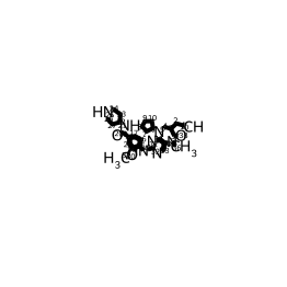 C#CCC1CN(C2CCCC2)c2nc(Nc3ccc(C(=O)NC4CCNCC4)cc3OC)ncc2N(C)C1=O